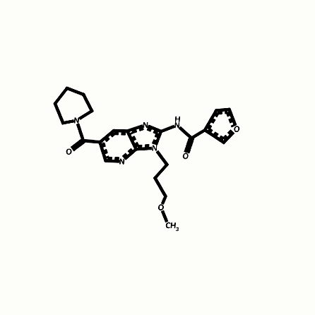 COCCCn1c(NC(=O)c2ccoc2)nc2cc(C(=O)N3CCCCC3)cnc21